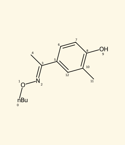 CCCCON=C(C)c1ccc(O)c(C)c1